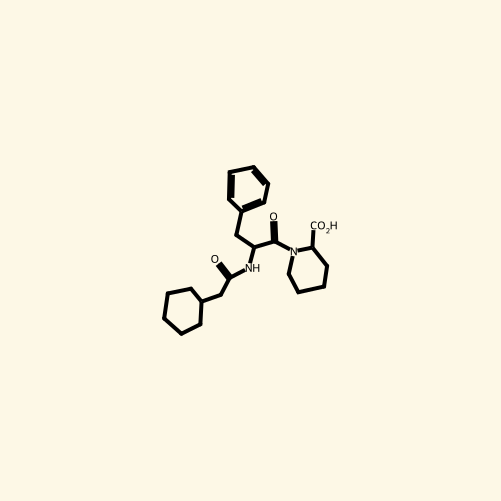 O=C(CC1CCCCC1)NC(Cc1ccccc1)C(=O)N1CCCCC1C(=O)O